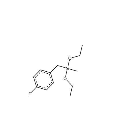 CCO[Si](C)(Cc1ccc(F)cc1)OCC